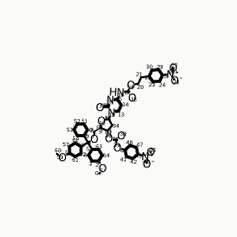 COc1ccc(C(OC[C@H]2O[C@@H](n3ccc(NC(=O)OCCc4ccc([N+](=O)[O-])cc4)nc3=O)C[C@@H]2OC(=O)Oc2ccc([N+](=O)[O-])cc2)(c2ccccc2)c2ccc(OC)cc2)cc1